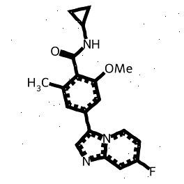 COc1cc(-c2cnc3cc(F)ccn23)cc(C)c1C(=O)NC1CC1